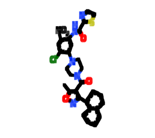 Cc1onc(-c2cccc3ccccc23)c1C(=O)N1CCN(c2cc(NC(=O)c3nccs3)c([N+](=O)[O-])cc2Cl)CC1